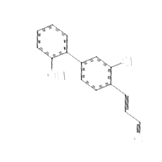 O=CC=Cc1ccc(-c2ccccc2O)cc1Cl